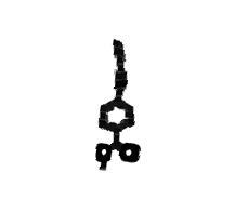 C#CC#Cc1ccc(C(=O)OC)cc1